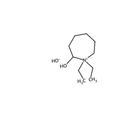 CC[N+]1(CC)CCCCCC1O.[OH-]